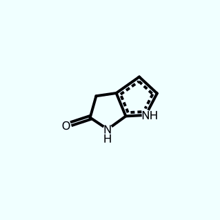 O=C1Cc2cc[nH]c2N1